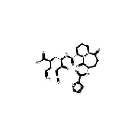 C=CCC(C[C@H](NC(=O)[C@@H]1CCCN2C(=O)CC[C@H](NC(=O)c3ccco3)C(=O)N12)C(=O)C=[N+]=[N-])C(=O)O